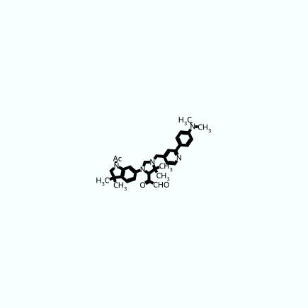 CC(=O)N1CC(C)(C)c2ccc(N3CN(Cc4ccnc(-c5ccc(N(C)C)cc5)c4)C(C)(C)C3C(=O)C=O)cc21